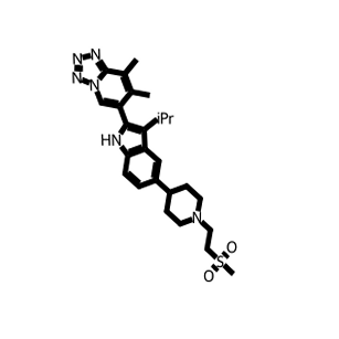 Cc1c(-c2[nH]c3ccc(C4CCN(CCS(C)(=O)=O)CC4)cc3c2C(C)C)cn2nnnc2c1C